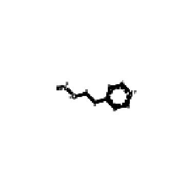 [CH2]CCOCCc1ccncc1